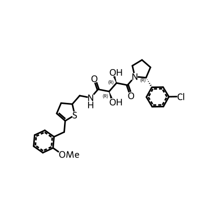 COc1ccccc1CC1=CCC(CNC(=O)[C@H](O)[C@@H](O)C(=O)N2CCC[C@@H]2c2cccc(Cl)c2)S1